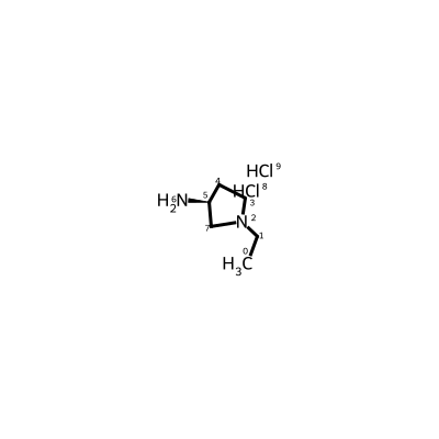 CCN1CC[C@H](N)C1.Cl.Cl